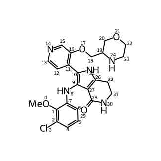 COc1c(Cl)cccc1Nc1c(-c2ccncc2OCC2COCCN2)[nH]c2c1C(=O)NCC2